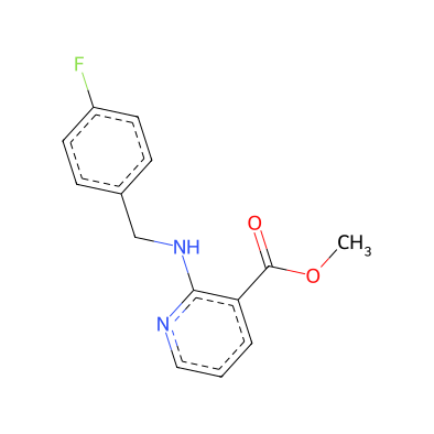 COC(=O)c1cccnc1NCc1ccc(F)cc1